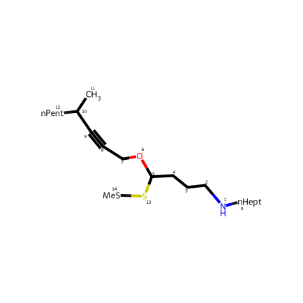 CCCCCCCNCCCC(OCC#CC(C)CCCCC)SSC